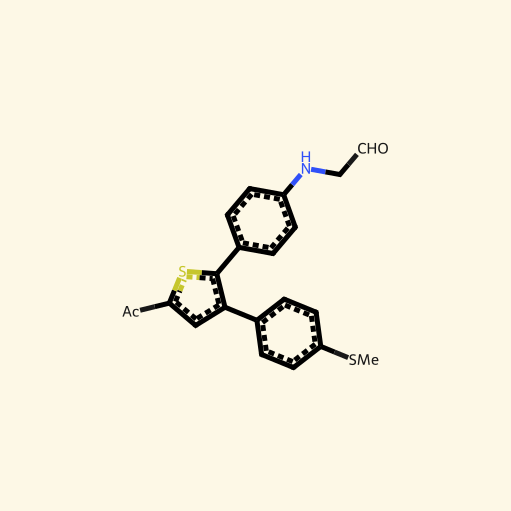 CSc1ccc(-c2cc(C(C)=O)sc2-c2ccc(NCC=O)cc2)cc1